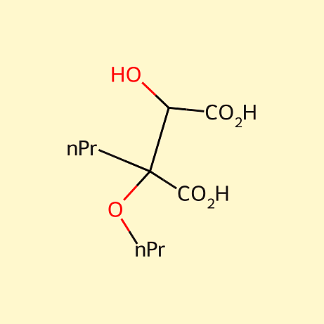 CCCOC(CCC)(C(=O)O)C(O)C(=O)O